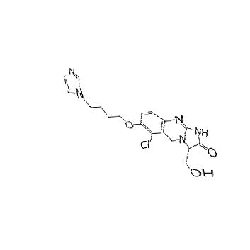 O=C1NC2=Nc3ccc(OCCCCn4ccnc4)c(Cl)c3CN2C1CO